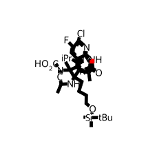 Cc1ccnc(C(C)C)c1C1(CCCCO[Si](C)(C)C(C)(C)C)NC(C)CN(C(=O)O)C1(C)c1nc(=O)[nH]c2nc(Cl)c(F)cc12